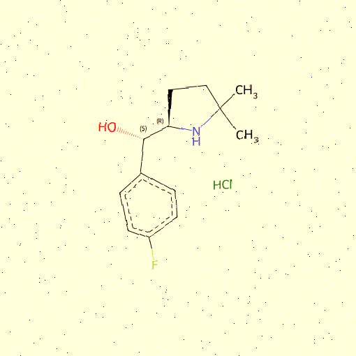 CC1(C)CC[C@H]([C@@H](O)c2ccc(F)cc2)N1.Cl